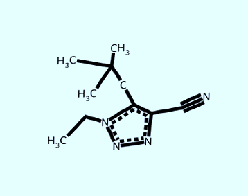 CCn1nnc(C#N)c1CC(C)(C)C